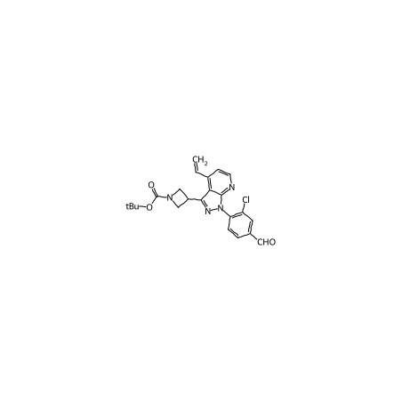 C=Cc1ccnc2c1c(C1CN(C(=O)OC(C)(C)C)C1)nn2-c1ccc(C=O)cc1Cl